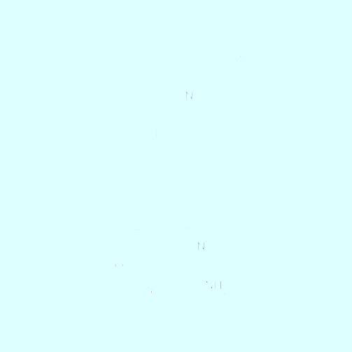 CC1(c2cc(/C=C(\F)c3ccc(Cl)cn3)ccc2F)N=C(N)SC2(C(=O)O)CC21